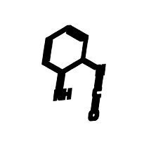 N=C1C=CC=CC1N=C=O